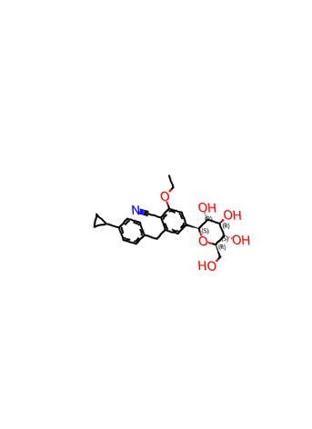 CCOc1cc([C@@H]2O[C@H](CO)[C@@H](O)[C@H](O)[C@H]2O)cc(Cc2ccc(C3CC3)cc2)c1C#N